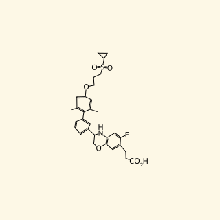 Cc1cc(OCCCS(=O)(=O)C2CC2)cc(C)c1-c1cccc(C2COc3cc(CCC(=O)O)c(F)cc3N2)c1